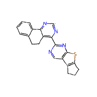 [c]1nc(-c2ncc3c4c(sc3n2)CCC4)c2c(n1)-c1ccccc1CC2